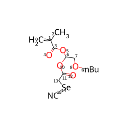 C=C(C)C(=O)OC(COCCCC)OC(=O)C[Se]C#N